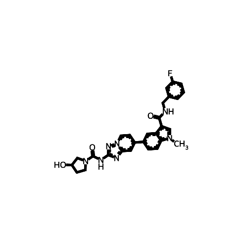 Cn1cc(C(=O)NCc2cccc(F)c2)c2cc(-c3ccn4nc(NC(=O)N5CCC(O)C5)nc4c3)ccc21